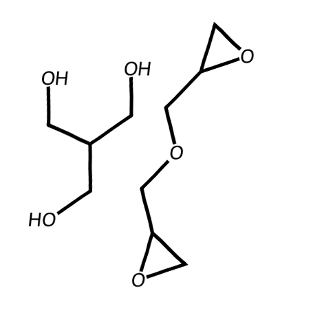 C(OCC1CO1)C1CO1.OCC(CO)CO